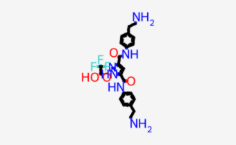 NCCc1ccc(NC(=O)c2cc(C(=O)Nc3ccc(CCN)cc3)[nH]n2)cc1.O=C(O)C(F)(F)F